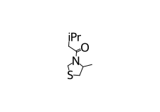 CC(C)CC(=O)N1CSCC1C